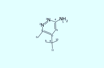 Cc1nnc(N)cc1C(C)(C)C